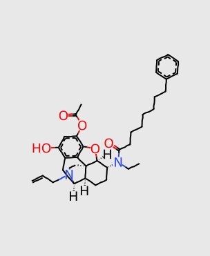 C=CCN1CC[C@]23c4c5c(O)cc(OC(C)=O)c4O[C@H]2[C@H](N(CC)C(=O)CCCCCCCc2ccccc2)CC[C@H]3[C@H]1C5